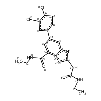 CCNC(=O)Nc1nc2cc(-c3ccc(Cl)c(Cl)c3)cc(C(=O)NCC)n2n1